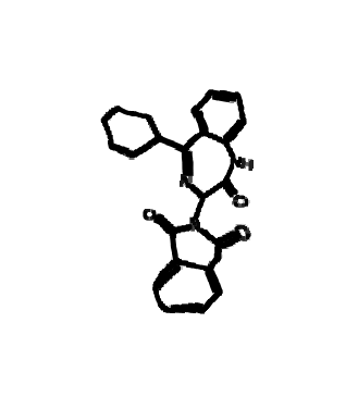 O=C1Nc2ccccc2C(C2CCCCC2)=NC1N1C(=O)c2ccccc2C1=O